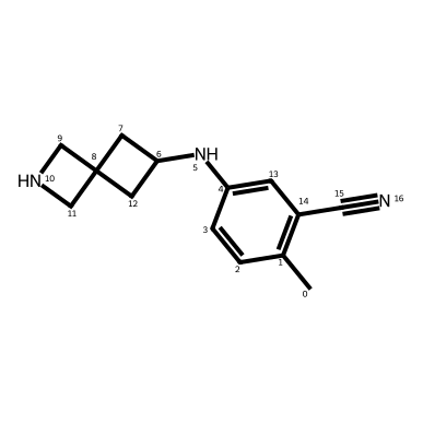 Cc1ccc(NC2CC3(CNC3)C2)cc1C#N